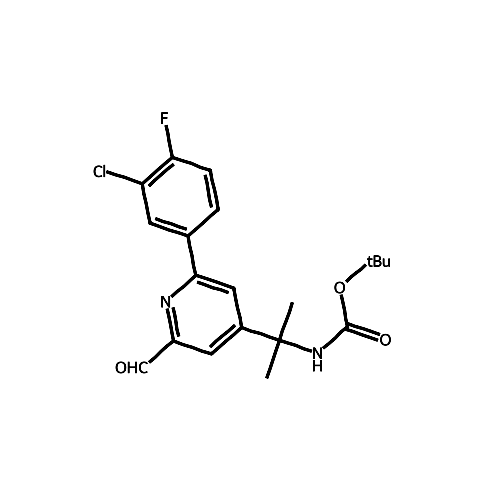 CC(C)(C)OC(=O)NC(C)(C)c1cc(C=O)nc(-c2ccc(F)c(Cl)c2)c1